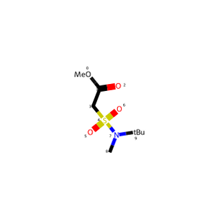 COC(=O)CS(=O)(=O)N(C)C(C)(C)C